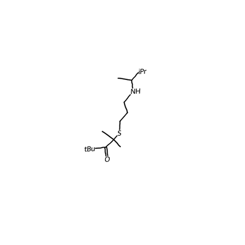 CC(C)C(C)NCCCSC(C)(C)C(=O)C(C)(C)C